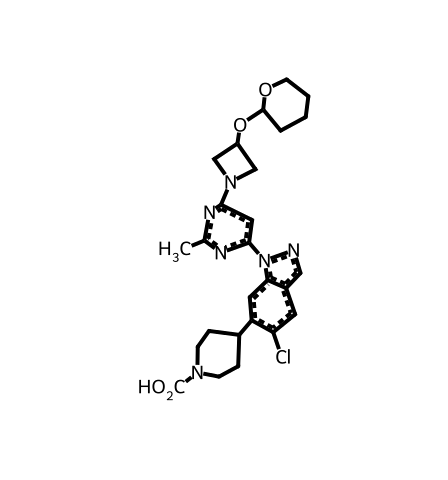 Cc1nc(N2CC(OC3CCCCO3)C2)cc(-n2ncc3cc(Cl)c(C4CCN(C(=O)O)CC4)cc32)n1